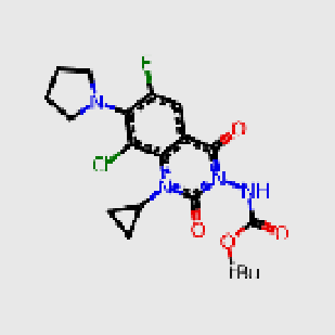 CC(C)(C)OC(=O)Nn1c(=O)c2cc(F)c(N3CCCC3)c(Cl)c2n(C2CC2)c1=O